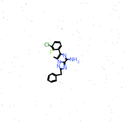 Cc1c(-c2cccc(Cl)c2F)nc(N)c2nc(Cc3ccccc3)nn12